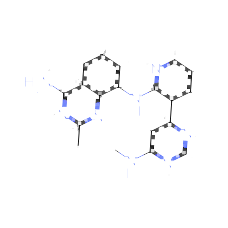 CNc1cc(-c2cccnc2Nc2cccc3c(N)nc(C)nc23)ncn1